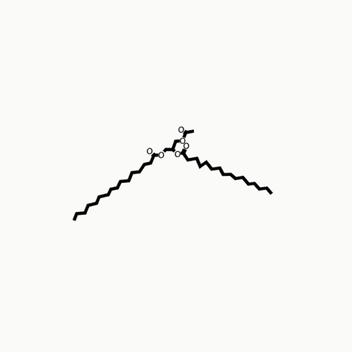 CCCCCCCCCCCCCCCC(=O)OCC(COC(C)=O)OC(=O)CCCCCCCCCCCCCCC